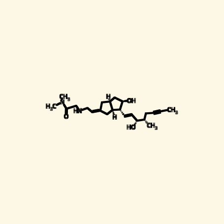 CC#CC[C@H](C)[C@H](O)/C=C/[C@@H]1[C@H]2C/C(=C/CNCC(=O)N(C)C)C[C@H]2C[C@H]1O